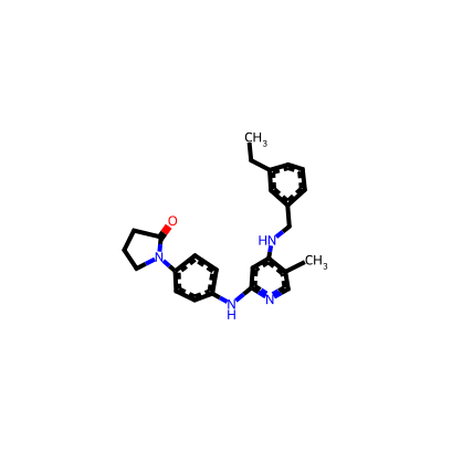 CCc1cccc(CNc2cc(Nc3ccc(N4CCCC4=O)cc3)ncc2C)c1